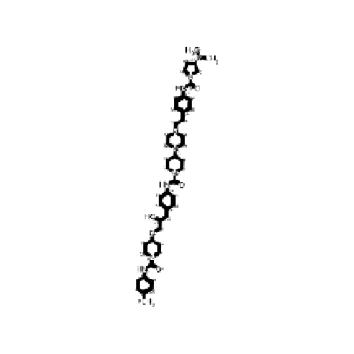 Cc1ccc(NC(=O)N2CCC(OCC(O)Cc3ccc(NC(=O)N4CCC(N5CCN(CCc6ccc(NC(=O)N7CC[C@H](N(C)C)C7)cc6)CC5)CC4)cc3)CC2)cc1